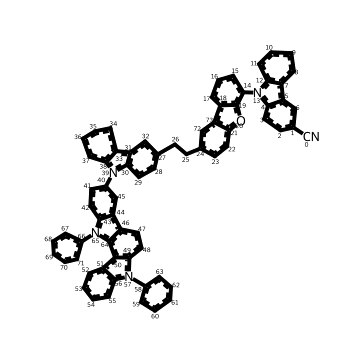 N#Cc1ccc2c(c1)c1ccccc1n2-c1cccc2c1oc1ccc(CCc3ccc4c(c3)c3ccccc3n4-c3ccc4c(c3)c3ccc5c(c6ccccc6n5-c5ccccc5)c3n4-c3ccccc3)cc12